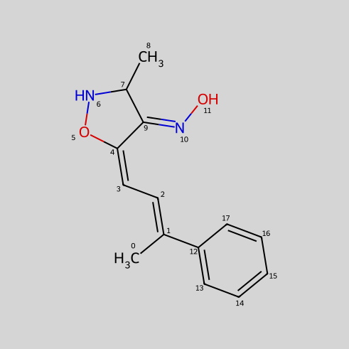 C\C(=C/C=C1/ONC(C)/C1=N\O)c1ccccc1